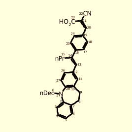 CCCCCCCCCCN1c2ccccc2CCc2cc(/C=C(\CCC)c3ccc(/C=C(/C#N)C(=O)O)cc3)ccc21